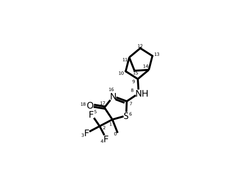 CC1(C(F)(F)F)SC(NC2CC3CCC2C3)=NC1=O